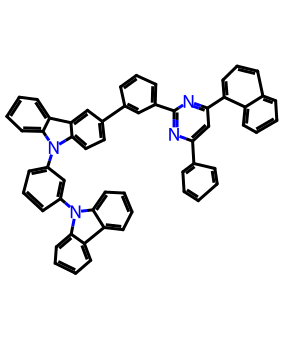 c1ccc(-c2cc(-c3cccc4ccccc34)nc(-c3cccc(-c4ccc5c(c4)c4ccccc4n5-c4cccc(-n5c6ccccc6c6ccccc65)c4)c3)n2)cc1